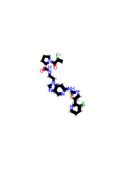 C=C(F)C(=O)N1CCC[C@H]1C(=O)NCCn1cnc2cnc(Nc3ncc(-c4ncccc4F)s3)cc21